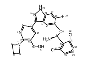 N[C@@H](Oc1cc2c(-c3cnc(N4CCC4)c(CO)c3)n[nH]c2cc1F)c1c(Cl)cncc1Cl